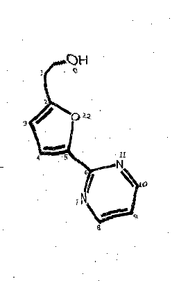 OCc1ccc(-c2ncccn2)o1